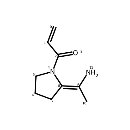 C=CC(=O)N1CCC/C1=C(\C)N